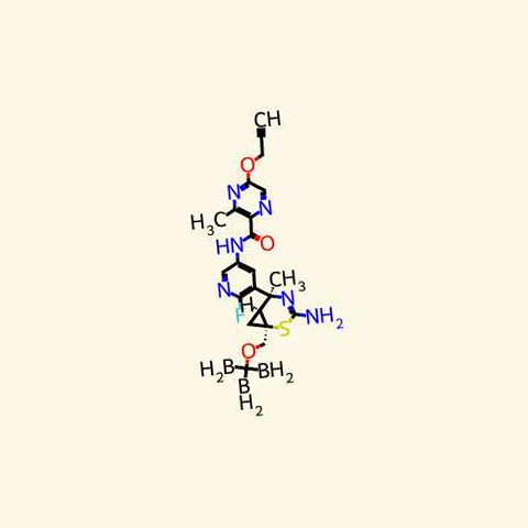 BC(B)(B)OC[C@]12C[C@H]1[C@@](C)(c1cc(NC(=O)c3ncc(OCC#C)nc3C)cnc1F)N=C(N)S2